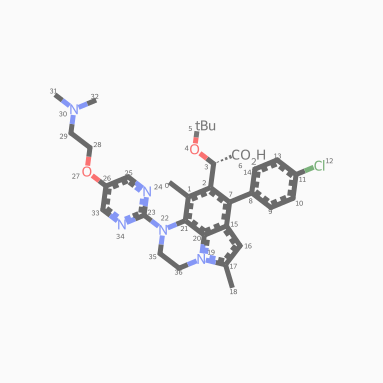 Cc1c([C@H](OC(C)(C)C)C(=O)O)c(-c2ccc(Cl)cc2)c2cc(C)n3c2c1N(c1ncc(OCCN(C)C)cn1)CC3